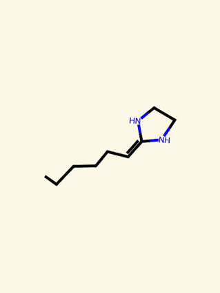 CCCCCC=C1NCCN1